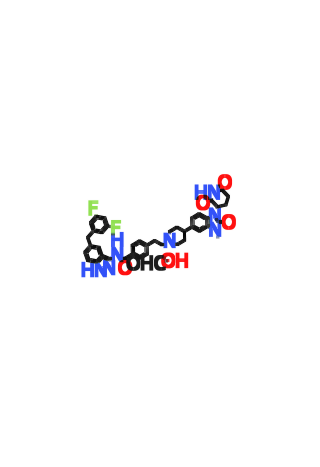 Cn1c(=O)n(C2CCC(=O)NC2=O)c2ccc(C3CCN(CCc4ccc(C(=O)Nc5n[nH]c6ccc(Cc7cc(F)cc(F)c7)cc56)cc4)CC3)cc21.O=CO